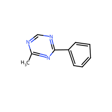 Cc1ncnc(-c2ccccc2)n1